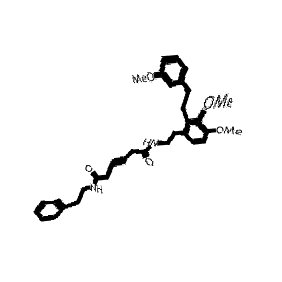 COc1cccc(CCc2c(CCNC(=O)CC=CCC(=O)NCCc3ccccc3)ccc(OC)c2OC)c1